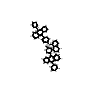 CC1(N(c2ccc(-c3c4ccccc4c(-c4ccccc4)c4ccccc34)cc2)c2cccc3ccccc23)C=CC(c2c3ccccc3c(-c3ccccc3)c3ccccc23)=CC1